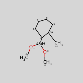 CO[SiH](OC)C1CCCCC1C